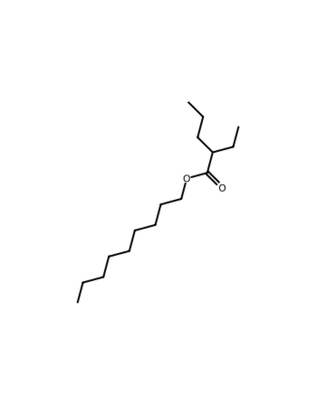 CCCCCCCCCOC(=O)C(CC)CCC